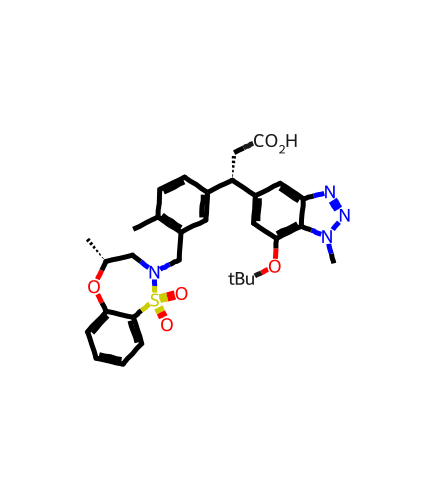 Cc1ccc([C@H](CC(=O)O)c2cc(OC(C)(C)C)c3c(c2)nnn3C)cc1CN1C[C@@H](C)Oc2ccccc2S1(=O)=O